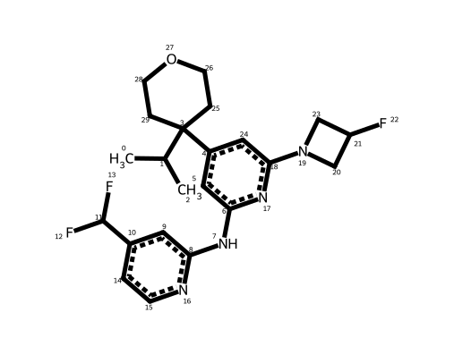 CC(C)C1(c2cc(Nc3cc(C(F)F)ccn3)nc(N3CC(F)C3)c2)CCOCC1